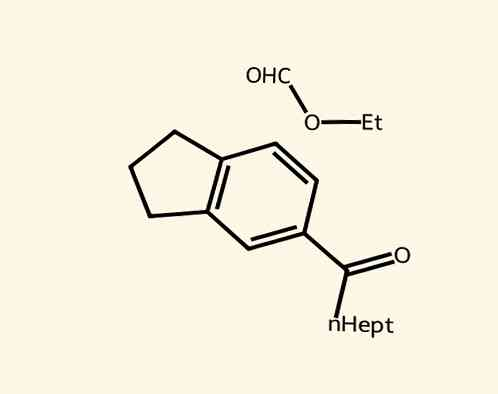 CCCCCCCC(=O)c1ccc2c(c1)CCC2.CCOC=O